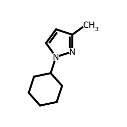 Cc1ccn(C2CCCCC2)n1